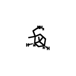 CC1(CN)CC[C@H]2C[C@@H]1C2(C)C